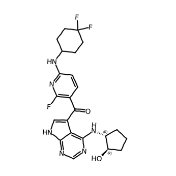 O=C(c1ccc(NC2CCC(F)(F)CC2)nc1F)c1c[nH]c2ncnc(N[C@@H]3CCC[C@H]3O)c12